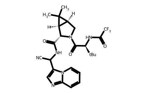 CC(C)(C)[C@H](NC(=O)C(F)(F)F)C(=O)N1C[C@H]2[C@@H]([C@H]1C(=O)NC(C#N)c1cnc3ccccn13)C2(C)C